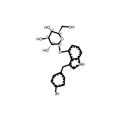 CC(C)c1ccc(Cc2c[nH]c3cccc(O[C@@H]4O[C@H](CO)[C@@H](O)[C@H](O)[C@H]4O)c23)cc1